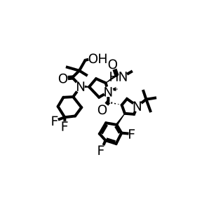 CNC(=O)[C@@H]1C[C@H](N(C(=O)C(C)(C)CO)C2CCC(F)(F)CC2)C[N+]1(C)C(=O)[C@@H]1CN(C(C)(C)C)C[C@H]1c1ccc(F)cc1F